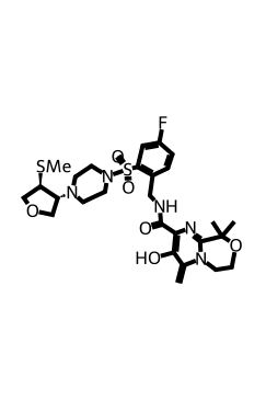 C=C1C(O)=C(C(=O)NCc2ccc(F)cc2S(=O)(=O)N2CCN([C@@H]3COC[C@H]3SC)CC2)N=C2N1CCOC2(C)C